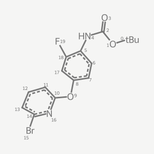 CC(C)(C)OC(=O)Nc1ccc(Oc2cccc(Br)n2)cc1F